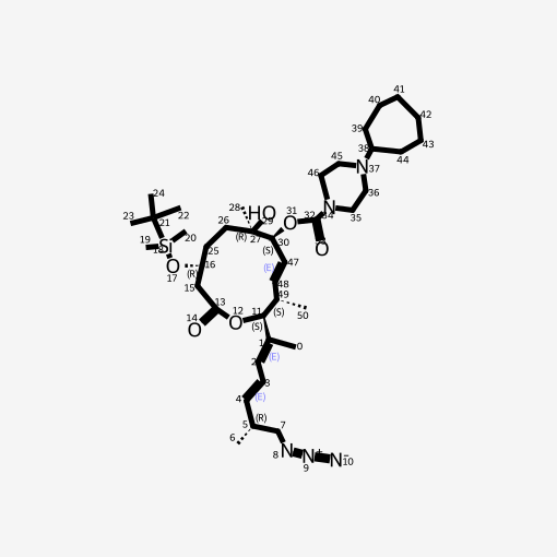 C/C(=C\C=C\[C@@H](C)CN=[N+]=[N-])[C@H]1OC(=O)C[C@H](O[Si](C)(C)C(C)(C)C)CC[C@@](C)(O)[C@@H](OC(=O)N2CCN(C3CCCCCC3)CC2)/C=C/[C@@H]1C